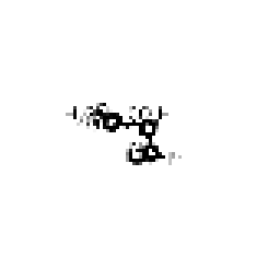 CC(C)c1cc(-c2cccc(C(Cc3ccc(S(C)(=O)=O)cc3)C(=O)O)c2)c2ncccc2c1